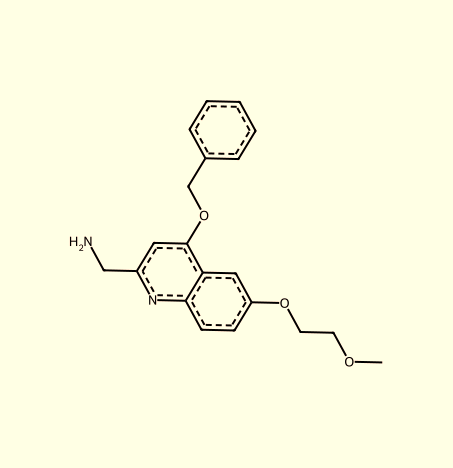 COCCOc1ccc2nc(CN)cc(OCc3ccccc3)c2c1